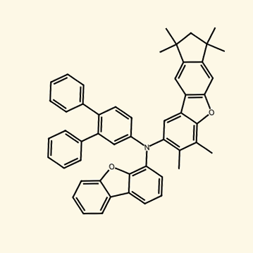 Cc1c(N(c2ccc(-c3ccccc3)c(-c3ccccc3)c2)c2cccc3c2oc2ccccc23)cc2c(oc3cc4c(cc32)C(C)(C)CC4(C)C)c1C